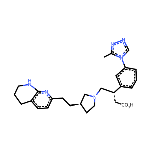 Cc1nncn1-c1cccc([C@H](CC(=O)O)CN2CC[C@@H](CCc3ccc4c(n3)NCCC4)C2)c1